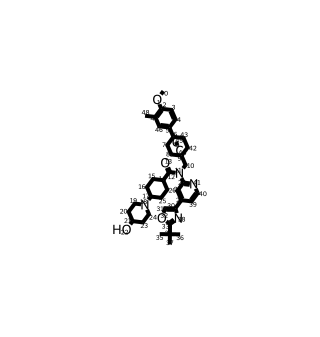 COc1ccc(C23CCC(CN(C(=O)C4CCC(N5CCC(O)CC5)CC4)c4cc(-c5coc(C(C)(C)C)n5)ccn4)(CC2)CC3)cc1C